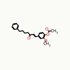 COc1cc(/C=C/C(=O)CCCCc2ccccc2)ccc1OC(C)=O